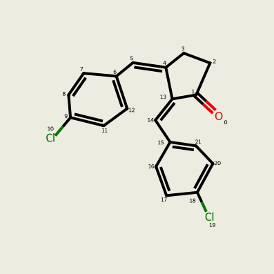 O=C1CCC(=Cc2ccc(Cl)cc2)C1=Cc1ccc(Cl)cc1